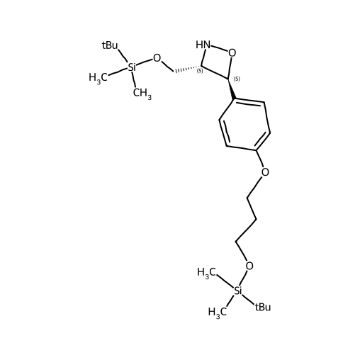 CC(C)(C)[Si](C)(C)OCCCOc1ccc([C@@H]2ON[C@H]2CO[Si](C)(C)C(C)(C)C)cc1